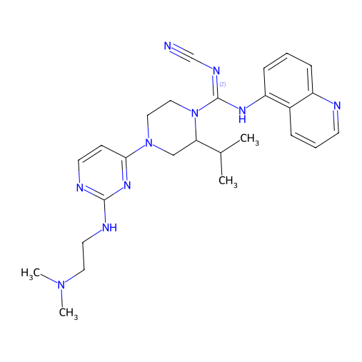 CC(C)C1CN(c2ccnc(NCCN(C)C)n2)CCN1/C(=N\C#N)Nc1cccc2ncccc12